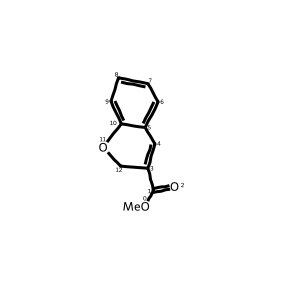 COC(=O)C1=Cc2ccccc2OC1